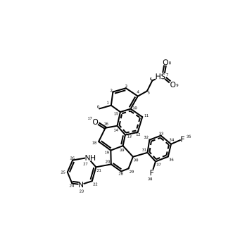 CC1C=CC(CC[SH](=O)=O)=c2ccc3c(c21)C(=O)C=C1C(C2=CN=CC=CN2)=CCC(c2ccc(F)cc2F)C=31